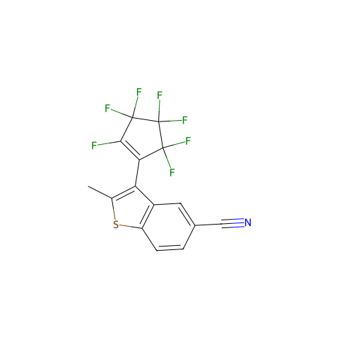 Cc1sc2ccc(C#N)cc2c1C1=C(F)C(F)(F)C(F)(F)C1(F)F